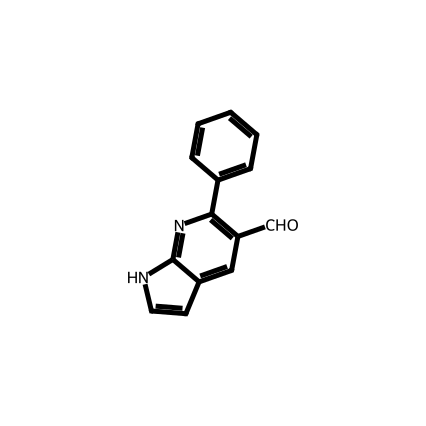 O=Cc1cc2cc[nH]c2nc1-c1ccccc1